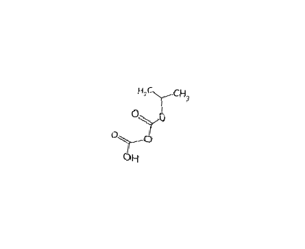 CC(C)OC(=O)OC(=O)O